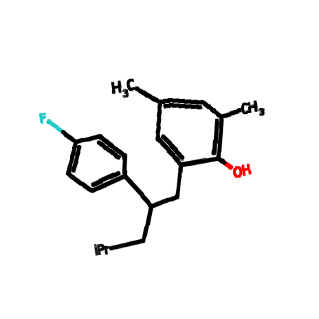 Cc1cc(C)c(O)c(CC(CC(C)C)c2ccc(F)cc2)c1